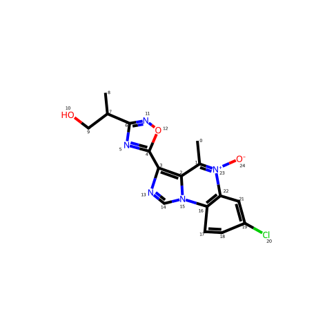 Cc1c2c(-c3nc(C(C)CO)no3)ncn2c2ccc(Cl)cc2[n+]1[O-]